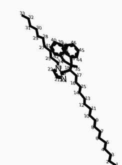 CCCCCCCCCCCCCCCCCCC(c1nccn1CCCCCCCCCC)C(C)(Cc1ccccc1)c1ccccc1